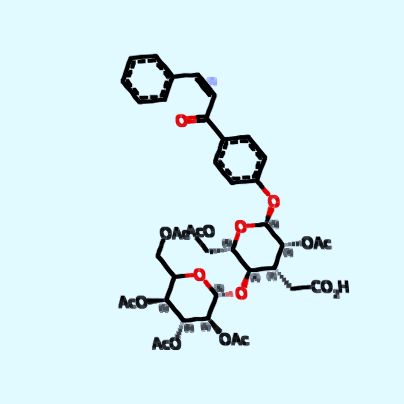 CC(=O)OCC1O[C@H](O[C@@H]2[C@@H](CC(=O)O)[C@@H](OC(C)=O)[C@H](Oc3ccc(C(=O)/C=C\c4ccccc4)cc3)O[C@H]2COC(C)=O)[C@@H](OC(C)=O)[C@H](OC(C)=O)[C@H]1OC(C)=O